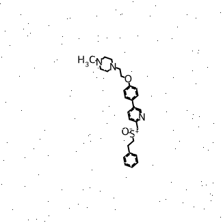 CN1CCN(CCOc2ccc(-c3ccc(C[S+]([O-])CCc4ccccc4)nc3)cc2)CC1